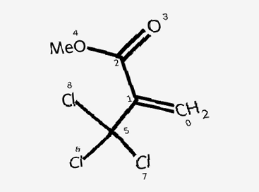 C=C(C(=O)OC)C(Cl)(Cl)Cl